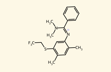 Cc1cc(C)c(SCC(F)(F)F)cc1/N=C(/c1ccccc1)N(C)C